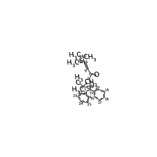 CC(C)(C)[Si](OCC(=O)C#C[Si](C)(C)C)(c1ccccc1)c1ccccc1